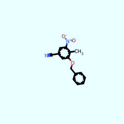 Cc1c(OCc2ccccc2)cc(C#N)cc1[N+](=O)[O-]